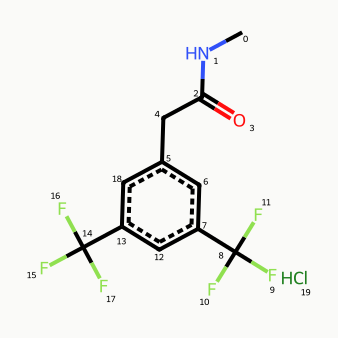 CNC(=O)Cc1cc(C(F)(F)F)cc(C(F)(F)F)c1.Cl